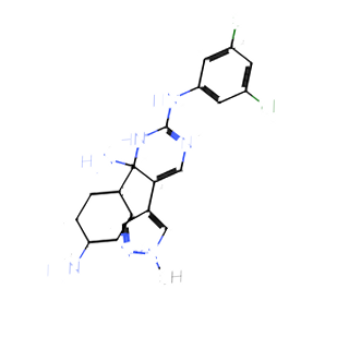 Cn1cc(C2=CN=C(Nc3cc(Cl)cc(Cl)c3)NC2(N)C2CCC(N)CC2)cn1